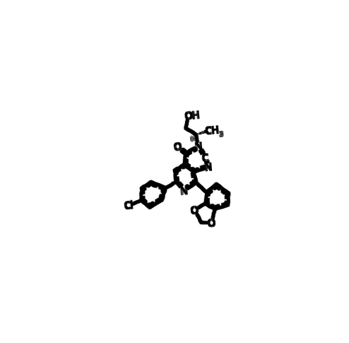 C[C@@H](CO)n1cnc2c(-c3cccc4c3OCO4)nc(-c3ccc(Cl)cc3)cc2c1=O